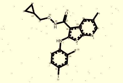 Cc1cnc2sc(Nc3ccc(I)cc3F)c(C(=O)NOCC3CC3)c2c1